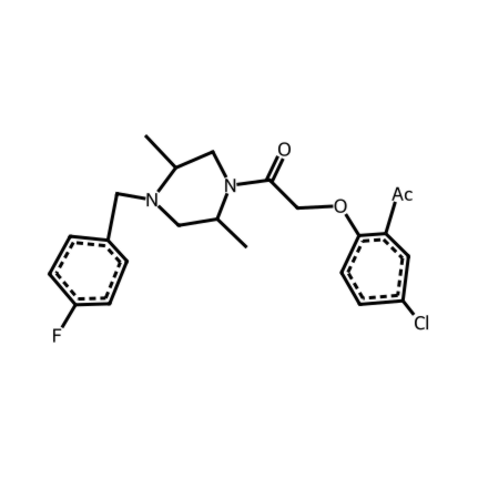 CC(=O)c1cc(Cl)ccc1OCC(=O)N1CC(C)N(Cc2ccc(F)cc2)CC1C